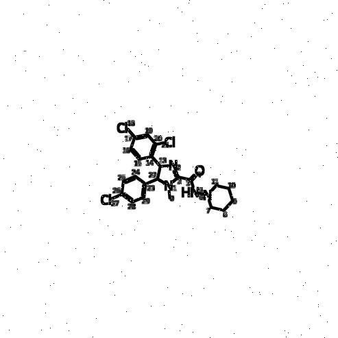 CN1C(C(=O)NN2CCCCC2)=NC(c2ccc(Cl)cc2Cl)C1c1ccc(Cl)cc1